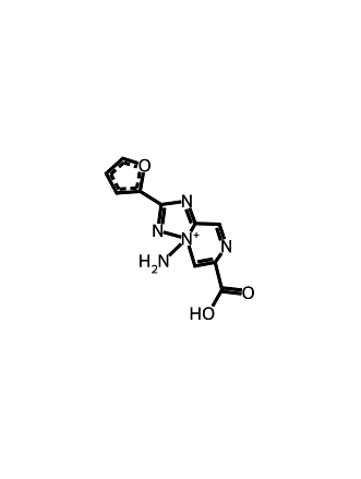 N[N+]12C=C(C(=O)O)N=CC1=NC(c1ccco1)=N2